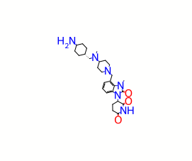 CN(C[C@H]1CC[C@H](N)CC1)C1CCN(Cc2cccc3c2n(C)c(=O)n3C2CCC(=O)NC2=O)CC1